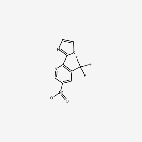 O=[N+]([O-])c1cnc(-c2nccs2)c(C(F)(F)F)c1